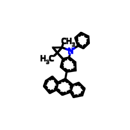 CC12CC1(C)N(c1ccccc1)c1ccc(-c3c4ccccc4cc4ccccc34)cc12